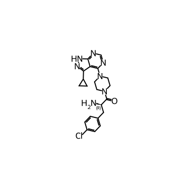 N[C@H](Cc1ccc(Cl)cc1)C(=O)N1CCN(c2ncnc3[nH]nc(C4CC4)c23)CC1